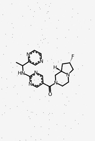 CC(Nc1ncc(C(=O)N2CCN3C[C@@H](F)C[C@H]3C2)cn1)c1cnccn1